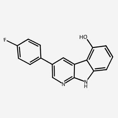 Oc1cccc2[nH]c3ncc(-c4ccc(F)cc4)cc3c12